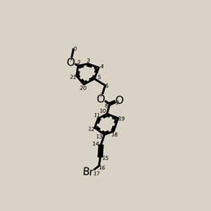 COc1ccc(COC(=O)c2ccc(C#CCBr)cc2)cc1